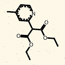 CCOC(=O)C(C(=O)OCC)c1cc(C)ccn1